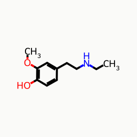 CCNCCc1ccc(O)c(OC)c1